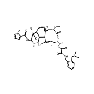 CO[C@H]1C[C@H]2C=CC3C4[C@H](O)[C@@H](C)[C@@H](OC(=O)c5ccc[nH]5)[C@@H]3O[C@]42/C(C)=C/[C@@H](C)[C@@H]([C@@H](C)OC(=O)C(=O)NCc2ccccc2CN(C)C)OC1=O